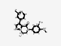 COc1ccc(N2C[C@H](C)n3ncc(-c4ccnc(C)c4)c3C2=O)cc1F